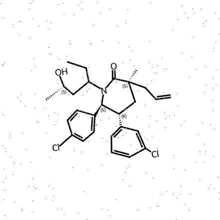 C=CC[C@@]1(C)C[C@H](c2cccc(Cl)c2)[C@@H](c2ccc(Cl)cc2)N(C(CC)C[C@H](C)O)C1=O